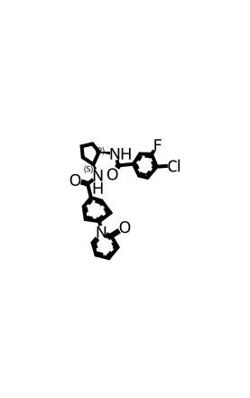 O=C(N[C@H]1CCC[C@H]1NC(=O)c1ccc(Cl)c(F)c1)c1ccc(-n2ccccc2=O)cc1